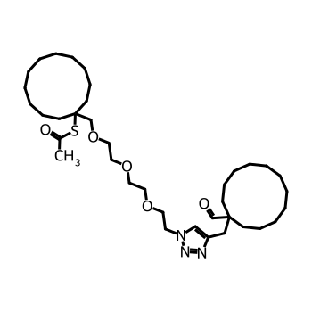 CC(=O)SC1(COCCOCCOCCn2cc(CC3(C=O)CCCCCCCCCCC3)nn2)CCCCCCCCCCC1